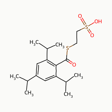 CC(C)c1cc(C(C)C)c(C(=O)SCCS(=O)(=O)O)c(C(C)C)c1